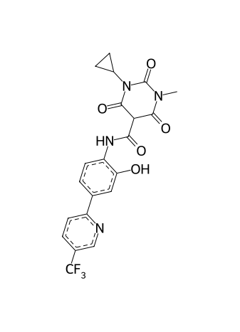 CN1C(=O)C(C(=O)Nc2ccc(-c3ccc(C(F)(F)F)cn3)cc2O)C(=O)N(C2CC2)C1=O